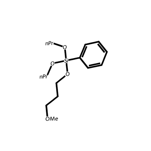 CCCO[Si](OCCC)(OCCCOC)c1ccccc1